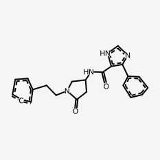 O=C(NC1CC(=O)N(CCc2ccccc2)C1)c1[nH]cnc1-c1ccccc1